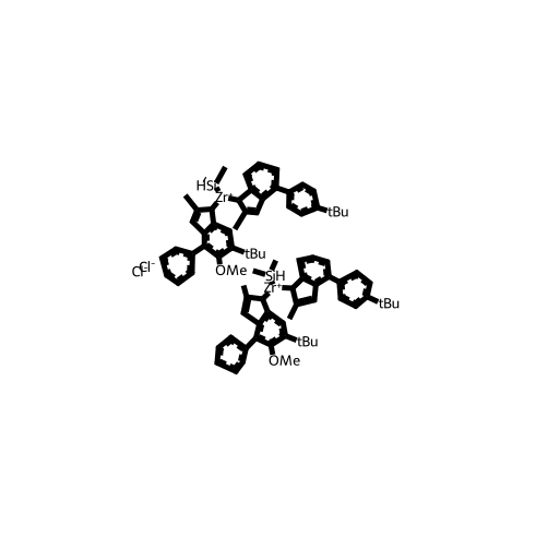 COc1c(C(C)(C)C)cc2c(c1-c1ccccc1)C=C(C)[CH]2[Zr+]([CH]1C(C)=Cc2c(-c3ccc(C(C)(C)C)cc3)cccc21)[SiH](C)C.COc1c(C(C)(C)C)cc2c(c1-c1ccccc1)C=C(C)[CH]2[Zr+]([CH]1C(C)=Cc2c(-c3ccc(C(C)(C)C)cc3)cccc21)[SiH](C)C.[Cl-].[Cl-]